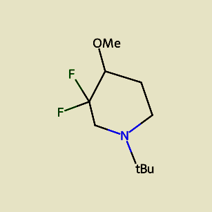 COC1CCN(C(C)(C)C)CC1(F)F